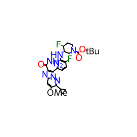 COc1cc2nc(C(N)=O)c(-c3ccc(F)c(N[C@H]4CN(C(=O)OC(C)(C)C)CC[C@@H]4F)n3)n2nc1C1CC1